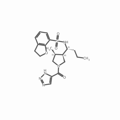 CCC[C@@H](NS(=O)(=O)c1cccc2c1OCC2)[C@H]1CN(C(=O)c2cnn[nH]2)C[C@H]1C